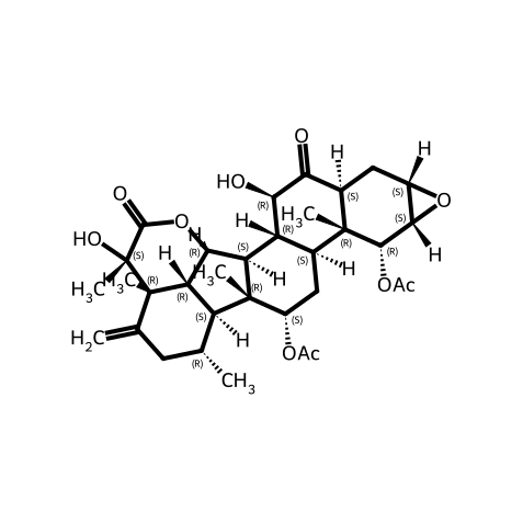 C=C1C[C@@H](C)[C@H]2[C@H]3[C@H](OC(=O)[C@@](C)(O)[C@@]13C)[C@H]1[C@@H]3[C@@H](O)C(=O)[C@H]4C[C@@H]5O[C@@H]5[C@H](OC(C)=O)[C@]4(C)[C@H]3C[C@H](OC(C)=O)[C@]21C